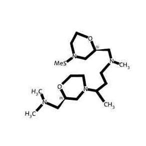 CSN1CCO[C@@H](CN(C)CCC(C)N2CCO[C@H](CN(C)C)C2)C1